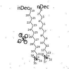 CCCCCCCCCCCCCCCCCCCCCCC[N+](C)(C)C.CCCCCCCCCCCCCCCCCCCCCCC[N+](C)(C)C.O=S(=O)([O-])[O-]